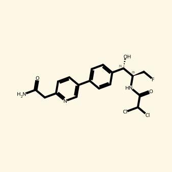 NC(=O)Cc1ccc(-c2ccc([C@H](O)[C@@H](CF)NC(=O)C(Cl)Cl)cc2)cn1